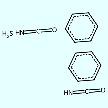 N=C=O.N=C=O.S.c1ccccc1.c1ccccc1